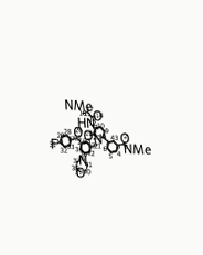 CNC(=O)c1cccc(-c2ccc(NC(=O)[C@H](C)NC)c(=O)n2Cc2cc(C(=O)c3ccc(F)cc3)cc(N3CCOCC3)c2)c1